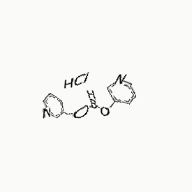 B(Oc1cccnc1)Oc1cccnc1.Cl